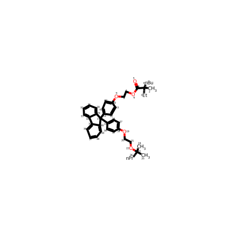 CCCCC(C)(CC)C(=O)OCCOc1ccc(C2(c3ccc(OCCOC(C)(C)CCC)cc3)c3ccccc3-c3ccccc32)cc1